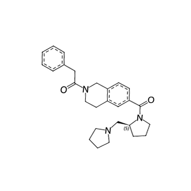 O=C(Cc1ccccc1)N1CCc2cc(C(=O)N3CCC[C@H]3CN3CCCC3)ccc2C1